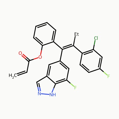 C=CC(=O)Oc1ccccc1/C(=C(\CC)c1ccc(F)cc1Cl)c1cc(F)c2[nH]ncc2c1